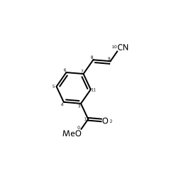 COC(=O)c1cccc(C=CC#N)c1